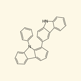 c1ccc(-n2c3ccccc3c3cccc(-c4ccc5[nH]c6ccccc6c5c4)c32)cc1